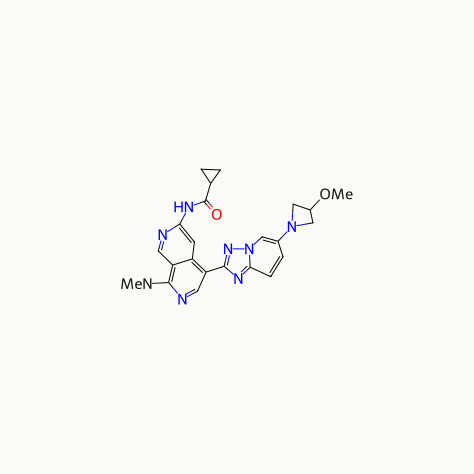 CNc1ncc(-c2nc3ccc(N4CC(OC)C4)cn3n2)c2cc(NC(=O)C3CC3)ncc12